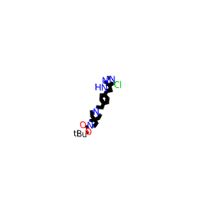 CC(C)(C)OC(=O)N1CCC2(CCN(CCc3ccc(-c4cc5c(Cl)ncnc5[nH]4)cc3)CC2)C1